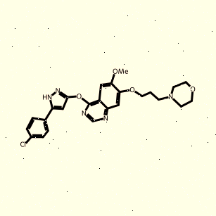 COc1cc2c(Oc3cc(-c4ccc(Cl)cc4)[nH]n3)ncnc2cc1OCCCN1CCOCC1